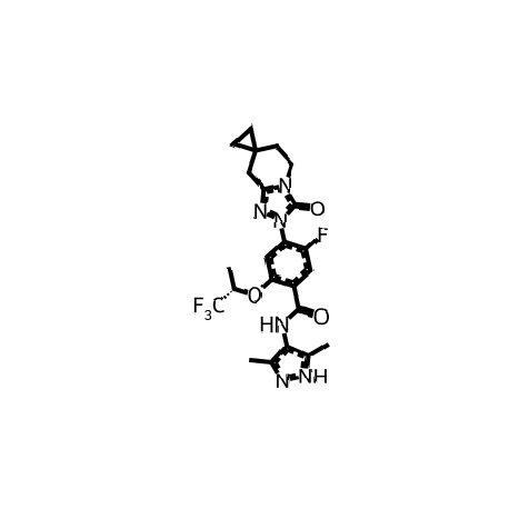 Cc1n[nH]c(C)c1NC(=O)c1cc(F)c(-n2nc3n(c2=O)CCC2(CC2)C3)cc1O[C@@H](C)C(F)(F)F